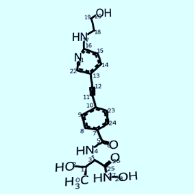 C[C@@H](O)[C@H](NC(=O)c1ccc(C#Cc2ccc(NCCO)nc2)cc1)C(=O)NO